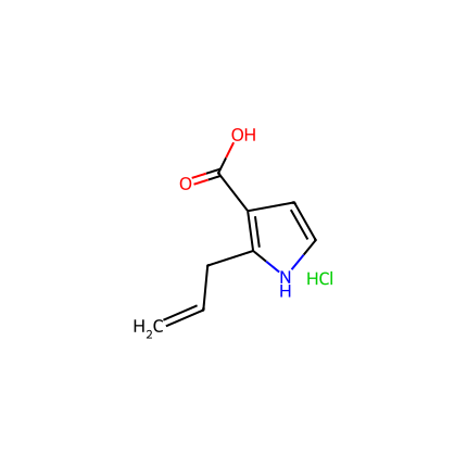 C=CCc1[nH]ccc1C(=O)O.Cl